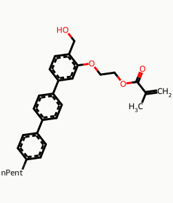 C=C(C)C(=O)OCCOc1cc(-c2ccc(-c3ccc(CCCCC)cc3)cc2)ccc1CO